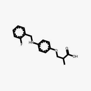 CC(COc1ccc(NCc2ccccc2F)cc1)C(=O)O